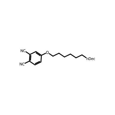 CCCCCCCCCCCCCCCCOc1ccc(C#N)c(C#N)c1